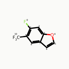 Fc1cc2o[c]cc2cc1C(F)(F)F